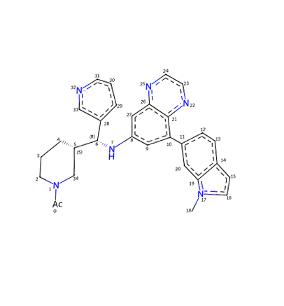 CC(=O)N1CCC[C@H]([C@@H](Nc2cc(-c3ccc4ccn(C)c4c3)c3nccnc3c2)c2cccnc2)C1